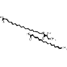 CCC(O)C(=O)O.CCCCCCCCCCCCCCCC(=O)O.CCCCCCCCCCCCCCCCCC(=O)O